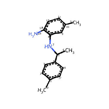 Cc1ccc(C(C)Nc2cc(C)ccc2N)cc1